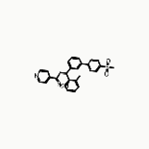 Cc1ccccc1C(C/C(=N\O)c1ccncc1)c1cccc(-c2ccc(S(C)(=O)=O)cc2)c1